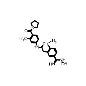 COc1ccc(C(=N)NO)cc1CC(=O)Nc1ccc(C(=O)N2CCCC2)c(C)c1